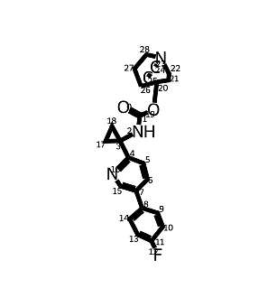 O=C(NC1(c2ccc(-c3ccc(F)cc3)cn2)CC1)OC1CCN2CCC1CC2